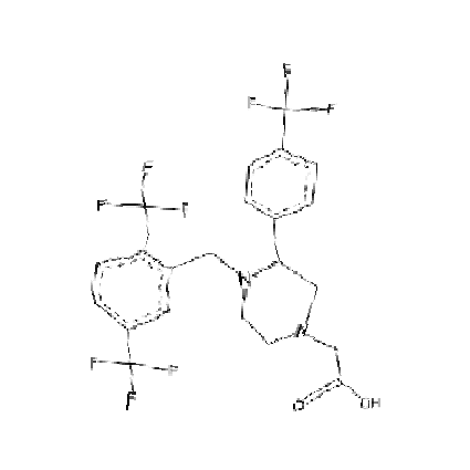 O=C(O)CN1CCN(Cc2cc(C(F)(F)F)ccc2C(F)(F)F)C(c2ccc(C(F)(F)F)cc2)C1